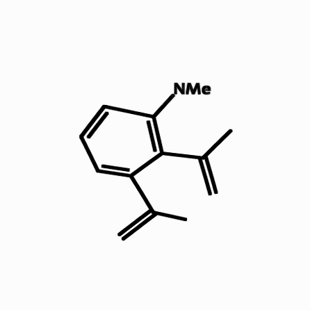 C=C(C)c1cccc(NC)c1C(=C)C